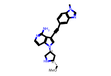 COC[C@H]1C[C@H](n2cc(C#Cc3ccc4c(c3)ncn4C)c3c(N)nccc32)CN1